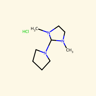 CN1CCN(C)C1N1CCCC1.Cl